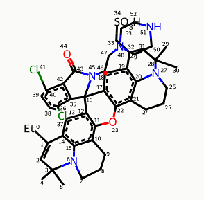 CCC1=CC(C)(C)N2CCCc3c4c(cc1c32)C1(c2cc3c5c(c2O4)CCCN5C(C)(C)C=C3CS(=O)(=O)O)c2c(Cl)ccc(Cl)c2C(=O)N1CCN1CCNCC1